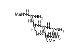 CNCCNCCN(CCN)CCNCCN(CCNCCN(C)CCN)CCNCCN(CCNCCN(CCN)CCN)CCNCCN(CCNC)CNCCN